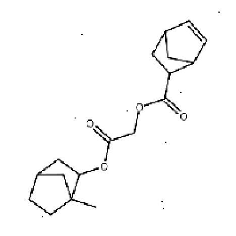 CC12CCC(CC1OC(=O)COC(=O)C1CC3C=CC1C3)C2